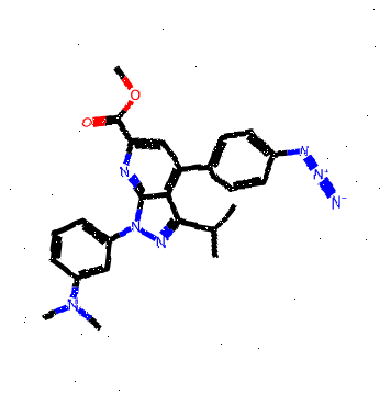 COC(=O)c1cc(-c2ccc(N=[N+]=[N-])cc2)c2c(C(C)C)nn(-c3cccc(N(C)C)c3)c2n1